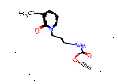 Cc1cccn(CCCNC(=O)OC(C)(C)C)c1=O